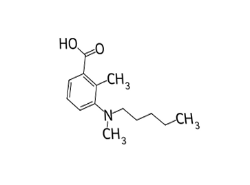 CCCCCN(C)c1cccc(C(=O)O)c1C